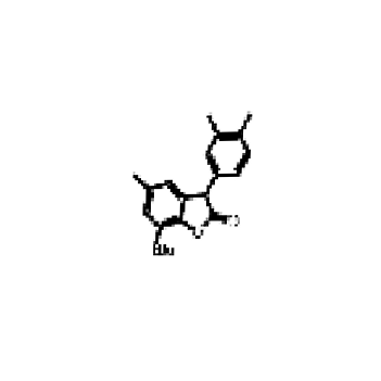 Cc1cc2c(c(C(C)(C)C)c1)OC(=O)C2c1ccc(C)c(C)c1